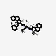 Cc1ccccc1CC1(C)C(/C=C/C(=C/C=C2/N(C)c3ccc4ccccc4c3C2(C)C)CCC(C)C)=[N+](C)c2ccc3ccccc3c21